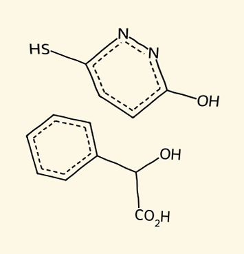 O=C(O)C(O)c1ccccc1.Oc1ccc(S)nn1